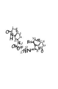 O=C1CSc2ccc(N3C[C@H](CCNC4Cn5c(=O)ccc6ncc(F)c4c65)OC3=O)cc2N1